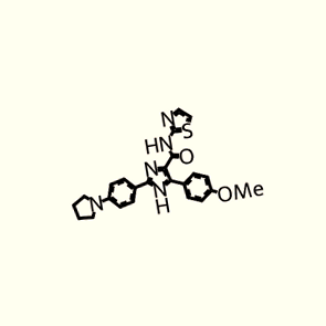 COc1ccc(-c2[nH]c(-c3ccc(N4CCCC4)cc3)nc2C(=O)Nc2nccs2)cc1